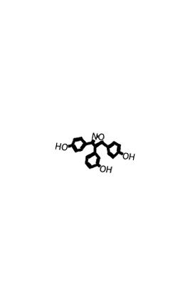 Oc1ccc(-c2noc(-c3ccc(O)cc3)c2-c2cccc(O)c2)cc1